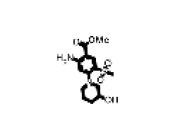 COC(=O)c1cc(S(C)(=O)=O)c(N2CCCC(O)C2)cc1N